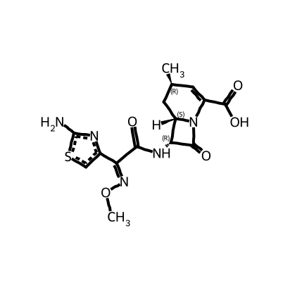 CON=C(C(=O)N[C@H]1C(=O)N2C(C(=O)O)=C[C@H](C)C[C@@H]12)c1csc(N)n1